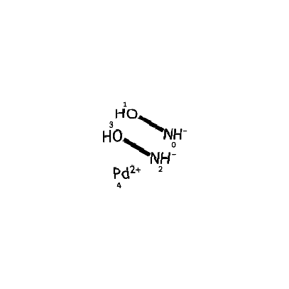 [NH-]O.[NH-]O.[Pd+2]